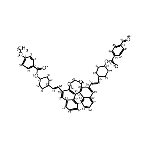 COc1ccc(C(=O)OC2CCC(/C=C/c3cc4ccccc4c4c3OCOc3c(/C=C/C5CCC(OC(=O)c6ccc(C=O)cc6)CC5)cc5ccccc5c3-4)CC2)cc1